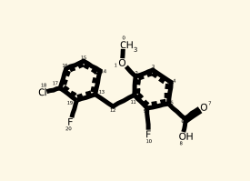 COc1ccc(C(=O)O)c(F)c1Cc1cccc(Cl)c1F